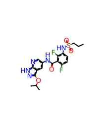 CCCS(=O)(=O)Nc1ccc(F)c(C(=O)Nc2cnc3[nH]nc(OC(C)C)c3c2)c1F